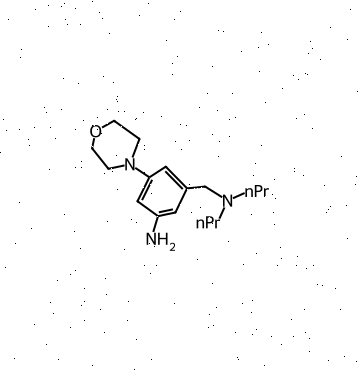 CCCN(CCC)Cc1cc(N)cc(N2CCOCC2)c1